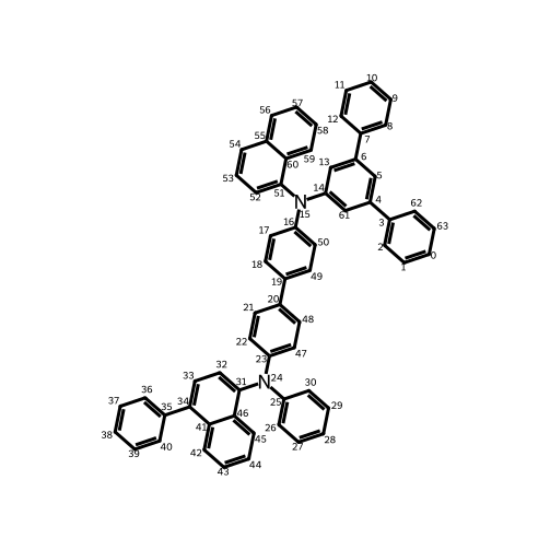 c1ccc(-c2cc(-c3ccccc3)cc(N(c3ccc(-c4ccc(N(c5ccccc5)c5ccc(-c6ccccc6)c6ccccc56)cc4)cc3)c3cccc4ccccc34)c2)cc1